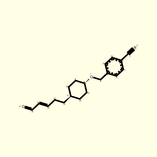 N#Cc1ccc(CO[C@H]2CC[C@H](CCC=CC=O)CC2)cc1